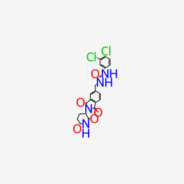 O=C1CCC(N2C(=O)c3ccc(CNC(=O)Nc4ccc(Cl)c(Cl)c4)cc3C2=O)C(=O)N1